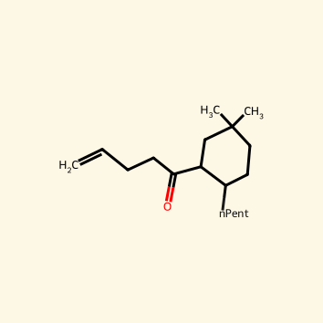 C=CCCC(=O)C1CC(C)(C)CCC1CCCCC